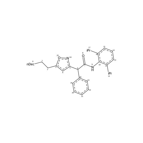 CCCCCCCCCCCCc1cc(C(C(=O)Nc2c(C(C)C)cccc2C(C)C)c2ccccc2)no1